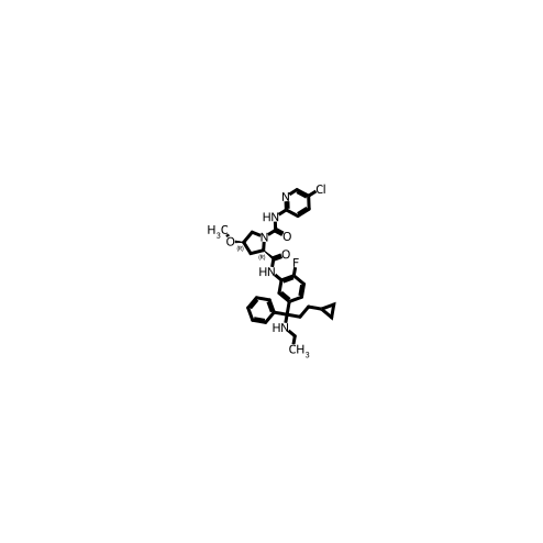 CCNC(CCC1CC1)(c1ccccc1)c1ccc(F)c(NC(=O)[C@H]2C[C@@H](OC)CN2C(=O)Nc2ccc(Cl)cn2)c1